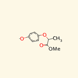 COC(=O)C(C)Oc1ccc([O])cc1